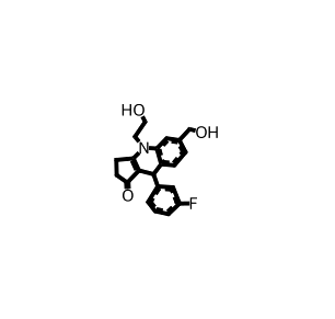 O=C1CCC2=C1C(c1cccc(F)c1)c1ccc(CO)cc1N2CCO